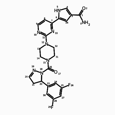 NC(=O)c1c[nH]c(-c2ccnc(N3CCN(C(=O)N4N=CCC4c4cc(F)cc(F)c4)CC3)n2)c1